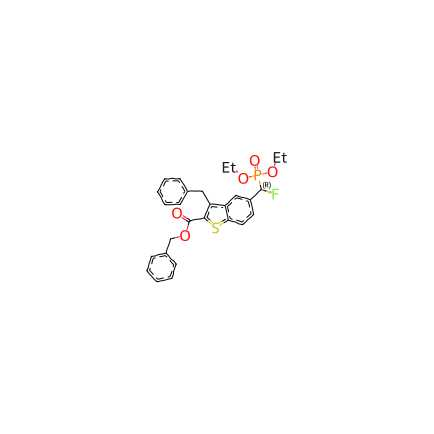 CCOP(=O)(OCC)[C@@H](F)c1ccc2sc(C(=O)OCc3ccccc3)c(Cc3ccccc3)c2c1